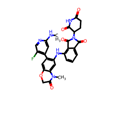 CNc1cc(-c2cc3c(cc2Nc2cccc4c2C(=O)N(C2CCC(=O)NC2=O)C4=O)N(C)C(=O)CO3)c(F)cn1